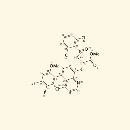 COC(=O)[C@H](Cc1ccc(-c2cc(F)c(F)cc2OC)c2c(Cl)ccnc12)NC(=O)c1c(Cl)cccc1Cl